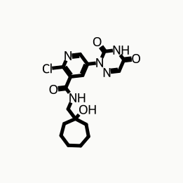 O=C(NCC1(O)CCCCCC1)c1cc(-n2ncc(=O)[nH]c2=O)cnc1Cl